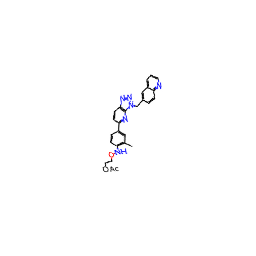 CC(=O)OCCONc1ccc(-c2ccc3nnn(Cc4ccc5ncccc5c4)c3n2)cc1C